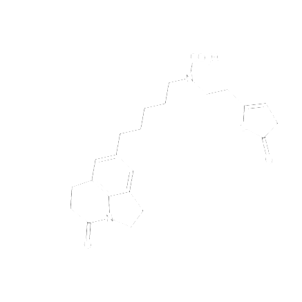 O=C1CC=C(CCN(CCCCCc2cc3c4c(c2)CCN4C(=O)CC3)C(=O)O)S1